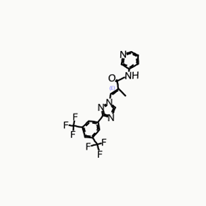 C/C(=C\n1cnc(-c2cc(C(F)(F)F)cc(C(F)(F)F)c2)n1)C(=O)Nc1cccnc1